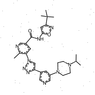 Cc1ncc(C(=O)Nc2cc(C(C)(C)C)no2)cc1-n1cc(-c2cncc(N3CCN(C(C)C)CC3)c2)nn1